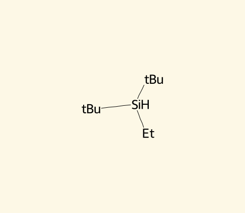 CC[SiH](C(C)(C)C)C(C)(C)C